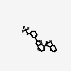 FC(F)(F)Sc1cccc(-c2cc3nccc(-n4nnc5ccccc54)n3n2)c1